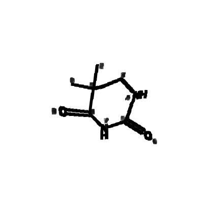 CC1(C)CNC(=O)NC1=O